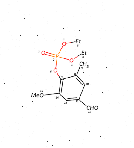 CCOP(=O)(OCC)Oc1c(C)cc(C=O)cc1OC